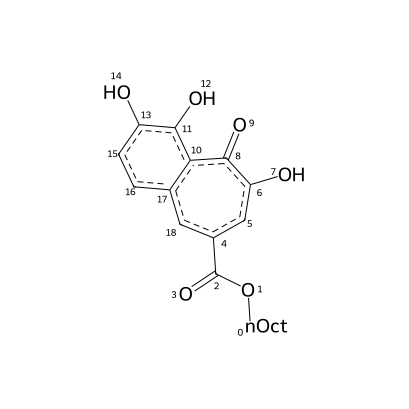 CCCCCCCCOC(=O)c1cc(O)c(=O)c2c(O)c(O)ccc2c1